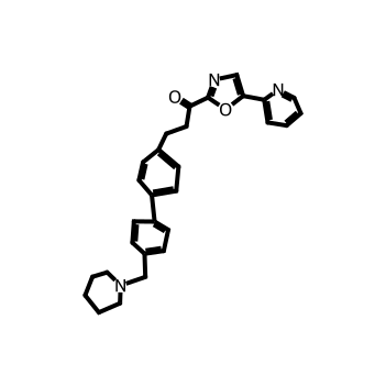 O=C(CCc1ccc(-c2ccc(CN3CCCCC3)cc2)cc1)c1ncc(-c2ccccn2)o1